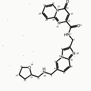 O=C(NCc1cn2cc(CNCC3CCCO3)ccc2n1)c1cc(=O)n2ccccc2n1